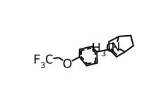 CN1C2C=C(c3ccc(OCC(F)(F)F)cc3)CC1CC2